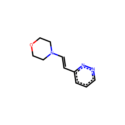 C(=C\N1CCOCC1)/c1cccnn1